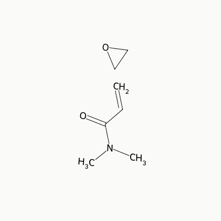 C1CO1.C=CC(=O)N(C)C